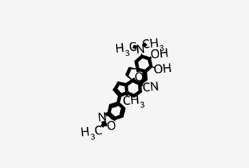 Cc1nc2cc(C3=CCC4[C@@]56CC[C@]7(C[C@H](N(C)C)[C@@H](O)[C@H](O)C7=CC5(C#N)CC[C@]34C)O6)ccc2o1